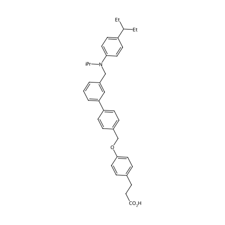 CCC(CC)c1ccc(N(Cc2cccc(-c3ccc(COc4ccc(CCC(=O)O)cc4)cc3)c2)C(C)C)cc1